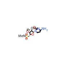 CNS(=O)(=O)C[C@H]1O[C@@H](n2ccc(N)nc2=O)[C@H](OC)[C@@H]1OC(C)C